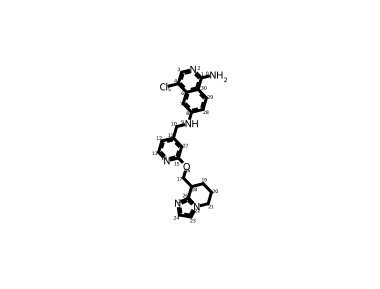 Nc1ncc(Cl)c2cc(NCc3ccnc(OCC4CCCn5ccnc54)c3)ccc12